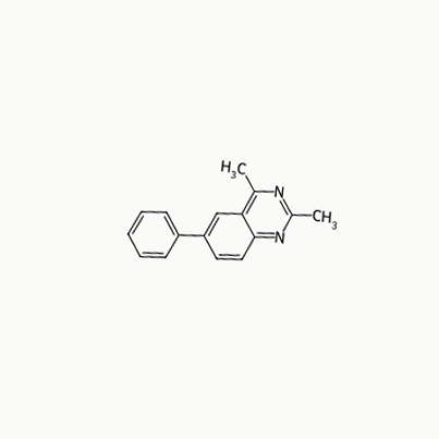 Cc1nc(C)c2cc(-c3ccccc3)ccc2n1